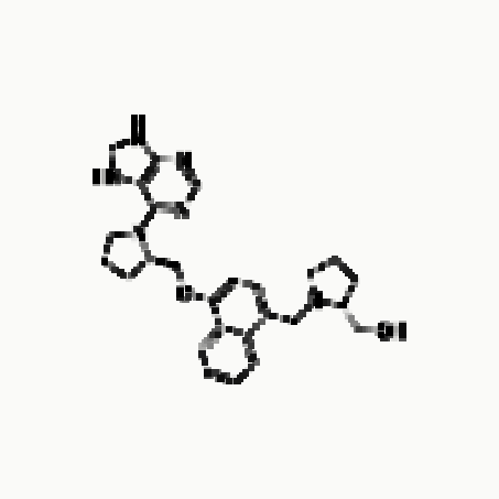 OC[C@H]1CCCN1Cc1ccc(OC[C@H]2CCCN2c2ncnc3c2NCN3)c2ccccc12